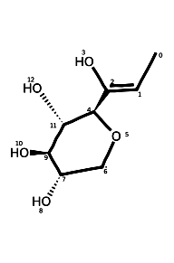 CC=C(O)[C@H]1O[CH][C@H](O)[C@@H](O)[C@@H]1O